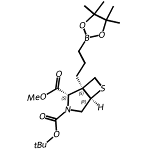 COC(=O)[C@H]1N(C(=O)OC(C)(C)C)C[C@@H]2SC[C@@]21CCCB1OC(C)(C)C(C)(C)O1